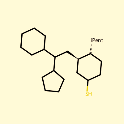 CCC[C@@H](C)C1CCC(S)C[C@H]1CC(C1CCCCC1)C1CCCC1